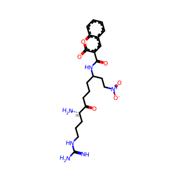 N=C(N)NCCC[C@H](N)C(=O)CCCC(CC[N+](=O)[O-])NC(=O)c1cc2ccccc2oc1=O